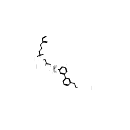 CN(C[C@H](O)CNC(C)(C)CCCc1ccsc1)S(=O)(=O)c1cc(-c2cccc(CCC(=O)O)c2)cc(C(F)(F)F)c1